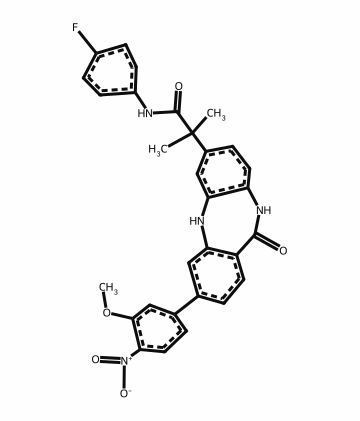 COc1cc(-c2ccc3c(c2)Nc2cc(C(C)(C)C(=O)Nc4ccc(F)cc4)ccc2NC3=O)ccc1[N+](=O)[O-]